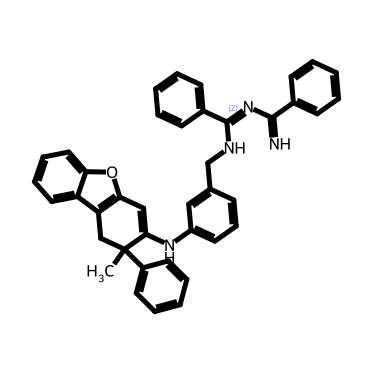 CC1(c2ccccc2)Cc2c(oc3ccccc23)C=C1Nc1cccc(CN/C(=N\C(=N)c2ccccc2)c2ccccc2)c1